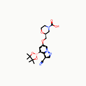 CC1(C)OB(c2cc(OC[C@@H]3CN(C(=O)O)CCO3)cn3ncc(C#N)c23)OC1(C)C